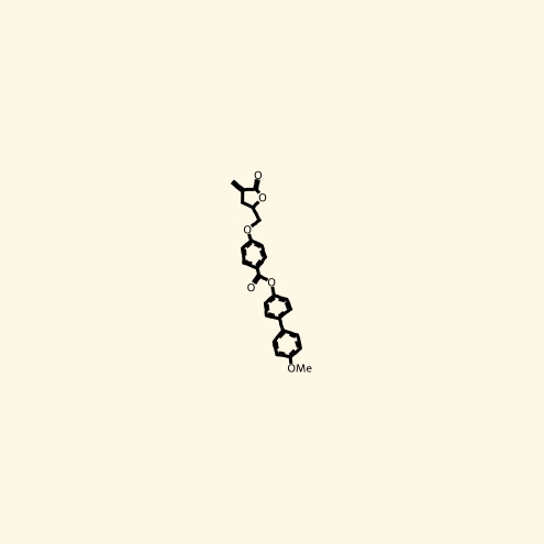 C=C1CC(COc2ccc(C(=O)Oc3ccc(-c4ccc(OC)cc4)cc3)cc2)OC1=O